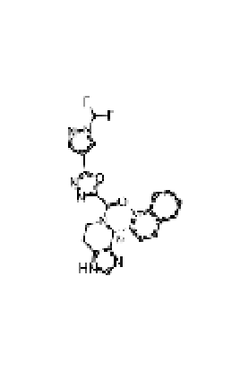 O=C(c1nnc(-c2cnn(C(F)F)c2)o1)N1CCc2[nH]cnc2[C@H]1c1ccc2ccccc2n1